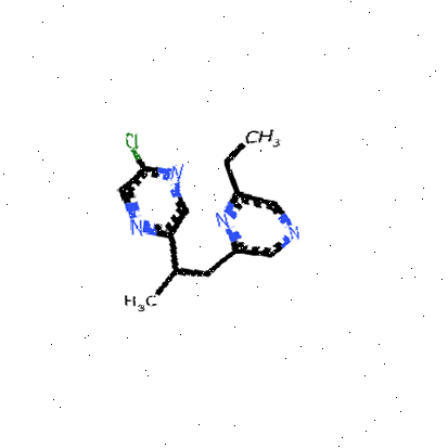 CCc1cncc(CC(C)c2cnc(Cl)cn2)n1